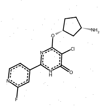 N[C@H]1CC[C@@H](Oc2nc(-c3ccnc(F)c3)[nH]c(=O)c2Cl)C1